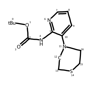 CC(C)(C)OC(=O)Nc1ncccc1N1CCSCC1